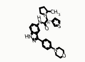 CC1CCCN1[C@@H](C(=O)Nc1ccc2[nH]nc(-c3ccc(N4CCOCC4)cc3)c2c1)c1ccsc1